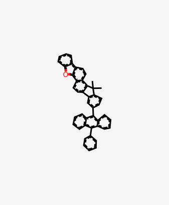 CC1(C)c2ccc(-c3c4ccccc4c(-c4ccccc4)c4ccccc34)cc2-c2ccc3c(ccc4c5ccccc5oc34)c21